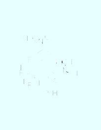 COc1sc(N(C)C)cc1C1C(c2cc(N(C)C)sc2OC)C(F)(F)C(F)(F)C1(F)F